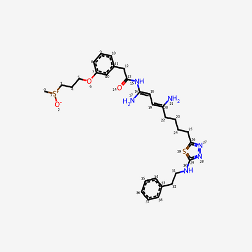 C[S+]([O-])CCCOc1cccc(CC(=O)N/C(N)=C/C=C(\N)CCCCc2nnc(NCCc3ccccc3)s2)c1